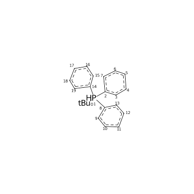 CC(C)(C)[PH](c1ccccc1)(c1ccccc1)c1ccccc1